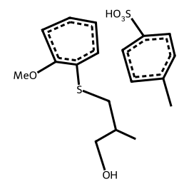 COc1ccccc1SCC(C)CO.Cc1ccc(S(=O)(=O)O)cc1